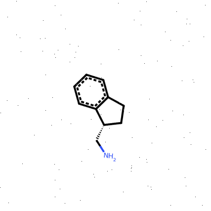 NC[C@H]1CCc2ccccc21